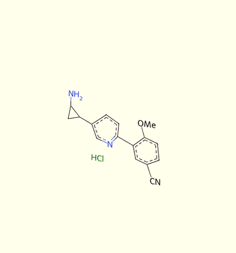 COc1ccc(C#N)cc1-c1ccc(C2CC2N)cn1.Cl